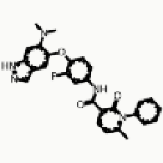 Cc1ccc(C(=O)Nc2ccc(Oc3cc4cn[nH]c4cc3N(C)C)c(F)c2)c(=O)n1-c1ccccc1